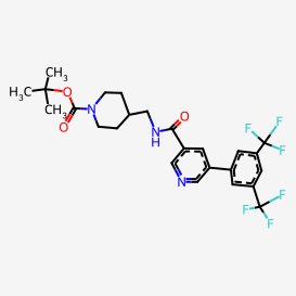 CC(C)(C)OC(=O)N1CCC(CNC(=O)c2cncc(-c3cc(C(F)(F)F)cc(C(F)(F)F)c3)c2)CC1